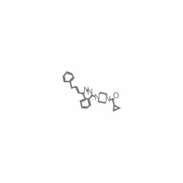 O=C(C1CC1)N1CCN(c2nnc(/C=C/Cc3ccccc3)c3ccccc23)CC1